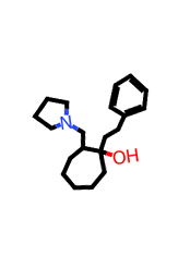 OC1(CCc2ccccc2)CCCCCC1CN1CCCC1